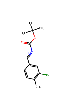 Cc1ccc(/C=N/C(=O)OC(C)(C)C)cc1Br